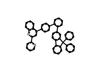 c1ccc(C2(c3ccccc3)c3ccccc3-c3ccc(-c4ccccc4-c4ccc(-c5cc(-c6ccccn6)nc6ccccc56)cc4)cc32)cc1